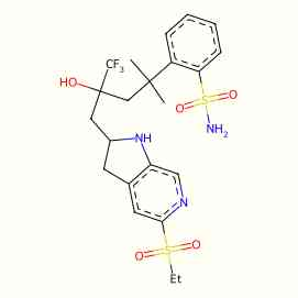 CCS(=O)(=O)c1cc2c(cn1)NC(CC(O)(CC(C)(C)c1ccccc1S(N)(=O)=O)C(F)(F)F)C2